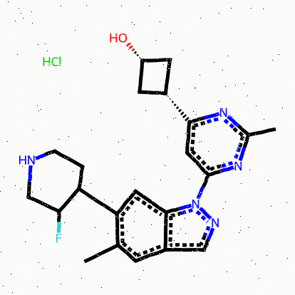 Cc1nc(-n2ncc3cc(C)c(C4CCNCC4F)cc32)cc([C@H]2C[C@@H](O)C2)n1.Cl